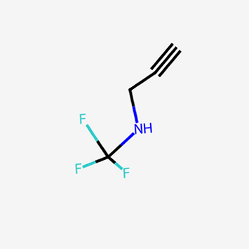 C#CCNC(F)(F)F